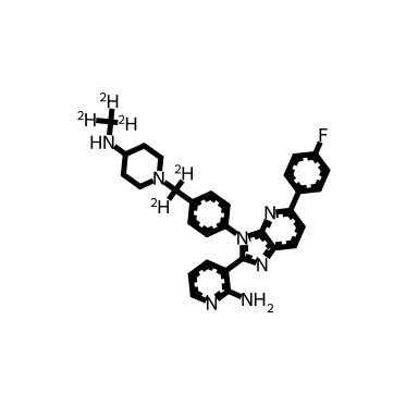 [2H]C([2H])([2H])NC1CCN(C([2H])([2H])c2ccc(-n3c(-c4cccnc4N)nc4ccc(-c5ccc(F)cc5)nc43)cc2)CC1